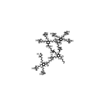 CCCCNC(=O)c1cc(OCC2=CN(CCCNC(=O)c3cc(OCCCS(#P)=PP)c(CCCCS(=O)(=O)O)c(OCCCS(=O)(=O)O)c3)NN2)c(OCc2cn(CCCNC(=O)c3cc(OCCCS(=O)(=O)O)c(OCCCS(=O)(=O)O)c(OCCCS(=O)(=O)O)c3)[nH]2)c(OCc2cn(CCCNC(=O)c3cc(OCCCS(=O)(=O)O)c(OCCCS(=O)(=O)O)c(OCCCS(=O)(=O)O)c3)nn2)c1